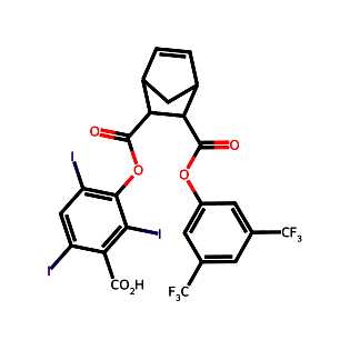 O=C(O)c1c(I)cc(I)c(OC(=O)C2C3C=CC(C3)C2C(=O)Oc2cc(C(F)(F)F)cc(C(F)(F)F)c2)c1I